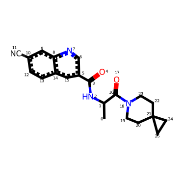 CC(NC(=O)c1cnc2cc(C#N)ccc2c1)C(=O)N1CCC2(CC1)CC2